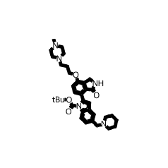 CN1CCN(CCCOc2ccc(-c3cc4cc(CN5CCCCC5)ccc4n3C(=O)OC(C)(C)C)c3c2CNC3=O)CC1